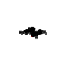 C=CC(=O)OCC(O)Cc1ccccc1C(C)(C)c1ccccc1CC(O)COC(=O)C=C